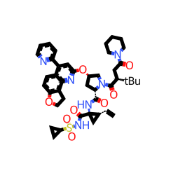 C=C[C@@H]1C[C@]1(NC(=O)[C@@H]1C[C@@H](Oc2cc(-c3ccccn3)c3ccc4c(c3n2)CCO4)CN1C(=O)[C@@H](CC(=O)N1CCCCC1)C(C)(C)C)C(=O)NS(=O)(=O)C1CC1